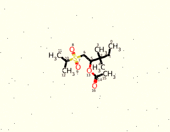 CCC(C)(C)C(CS(=O)(=O)C(C)C)OC(C)=O